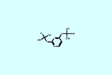 OC(O)(O)Oc1ccnc(OC(O)(O)O)n1